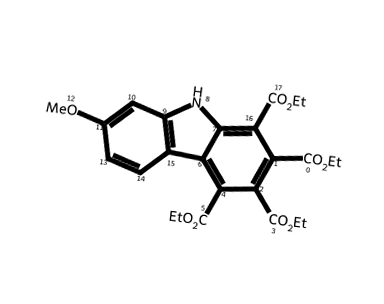 CCOC(=O)c1c(C(=O)OCC)c(C(=O)OCC)c2c([nH]c3cc(OC)ccc32)c1C(=O)OCC